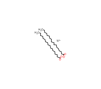 CCCCCCCCCCCCCCCCCC(=O)[O-].CCCCCCCCCCCCCCCCCC(=O)[O-].[Ti+2]